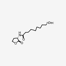 CCCCCCCCCCCCCCCCCCC(=O)N[C@H]1CCOC1=O